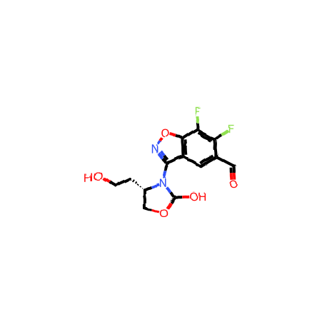 O=Cc1cc2c(N3C(O)OC[C@@H]3CCO)noc2c(F)c1F